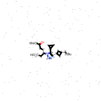 COC(=O)CC[C@@H](CC(=O)O)n1nnc([C@H]2C[C@@H](CC(C)(C)C)C2)c1C1CC1